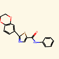 O=C(Nc1ccccc1)c1cnc(-c2ccc3c(c2)OCCO3)s1